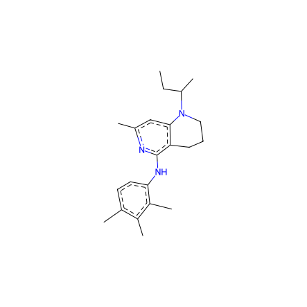 CCC(C)N1CCCc2c1cc(C)nc2Nc1ccc(C)c(C)c1C